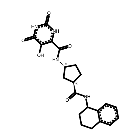 O=C(N[C@@H]1CC[C@@H](C(=O)NC2CCCc3ccccc32)C1)c1[nH]c(=O)[nH]c(=O)c1O